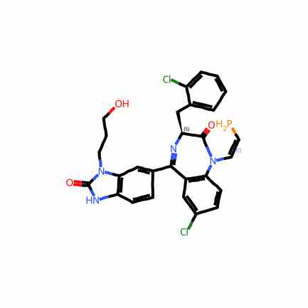 O=C1[C@H](Cc2ccccc2Cl)N=C(c2ccc3[nH]c(=O)n(CCCO)c3c2)c2cc(Cl)ccc2N1/C=C\P